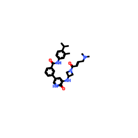 Cc1cc(NC(=O)c2cccc(-c3c[nH]c(=O)c(NC4CN(C(=O)/C=C/CN(C)C)C4)c3)c2)ccc1C(C)C